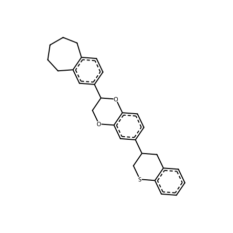 c1ccc2c(c1)CC(c1ccc3c(c1)OCC(c1ccc4c(c1)CCCCC4)O3)CS2